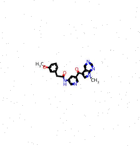 COc1cccc(CC(=O)Nc2cncc(C(=O)c3cn(C)c4ncncc34)c2)c1